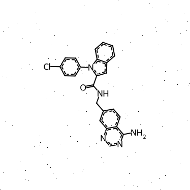 Nc1ncnc2cc(CNC(=O)c3cc4ccccc4n3-c3ccc(Cl)cc3)ccc12